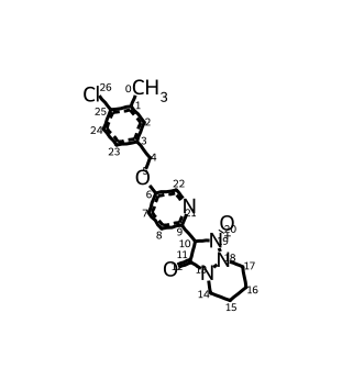 Cc1cc(COc2ccc(C3C(=O)N4CCCCN4[N+]3=O)nc2)ccc1Cl